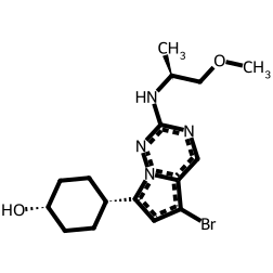 COC[C@H](C)Nc1ncc2c(Br)cc([C@H]3CC[C@@H](O)CC3)n2n1